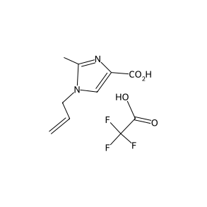 C=CCn1cc(C(=O)O)nc1C.O=C(O)C(F)(F)F